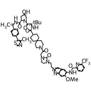 COc1cc2nn(CCN3CCN(CC(=O)N4CCC5(CCC(C(=O)N[C@H](C(=O)N6C[C@H](O)CC6C(=O)N[C@@H](C)c6ccc(-c7scnc7C)cc6)C(C)(C)C)CC5)CC4)C3=O)cc2cc1NC(=O)c1cccc(C(F)(F)F)n1